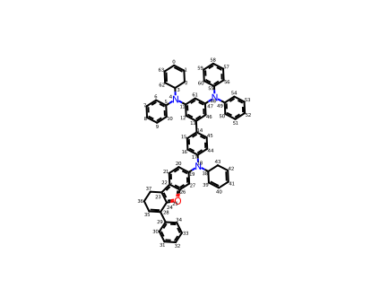 C1=CCC(N(c2ccccc2)c2cc(-c3ccc(N(c4ccc5c6c(oc5c4)C(c4ccccc4)=CCC6)C4C=CC=CC4)cc3)cc(N(c3ccccc3)c3ccccc3)c2)C=C1